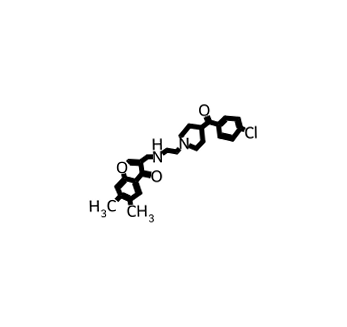 Cc1cc2occ(CNCCN3CCC(C(=O)c4ccc(Cl)cc4)CC3)c(=O)c2cc1C